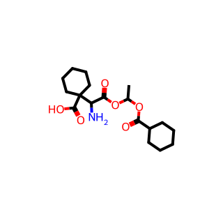 CC(OC(=O)C1CCCCC1)OC(=O)C(N)C1(C(=O)O)CCCCC1